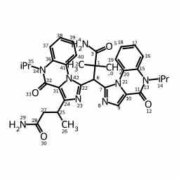 [CH2]C(C)(C(N)=O)C(c1ncc2c(=O)n(C(C)C)c3ccccc3n12)c1nc(C(C)CC(N)=O)c2c(=O)n(C(C)C)c3ccccc3n12